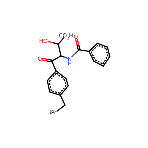 CC(C)Cc1ccc(C(=O)C(NC(=O)c2ccccc2)C(O)C(=O)O)cc1